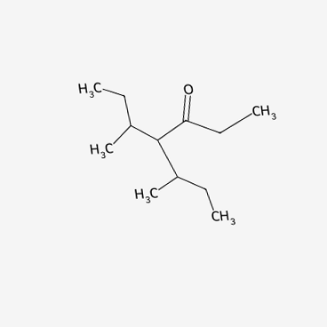 CCC(=O)C(C(C)CC)C(C)CC